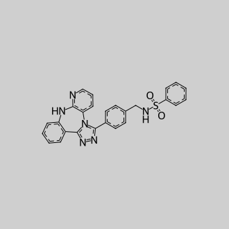 O=S(=O)(NCc1ccc(-c2nnc3n2-c2cccnc2Nc2ccccc2-3)cc1)c1ccccc1